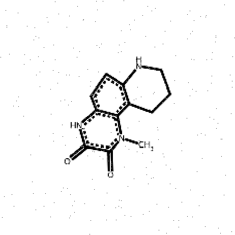 Cn1c(=O)c(=O)[nH]c2ccc3c(c21)CCCN3